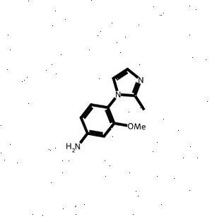 COc1cc(N)ccc1-n1ccnc1C